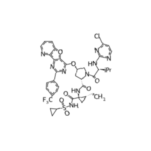 C=C[C@@H]1C[C@]1(NC(=O)[C@@H]1C[C@@H](Oc2nc(-c3ccc(C(F)(F)F)cc3)nc3c2oc2cccnc23)CN1C(=O)[C@@H](Nc1nccc(Cl)n1)C(C)C)C(=O)NS(=O)(=O)C1CC1